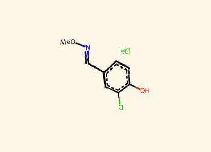 CO/N=C/c1ccc(O)c(Cl)c1.Cl